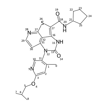 Cc1cc(OCC(C)C)ncc1N1C(=O)Nc2c(C(=O)NC3CCCC3)sc3nccc1c23